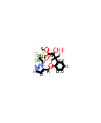 COC(=O)[C@H](O)C(C)(C)c1ccccc1OCc1ccnn1CC(F)(F)F